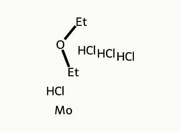 CCOCC.Cl.Cl.Cl.Cl.[Mo]